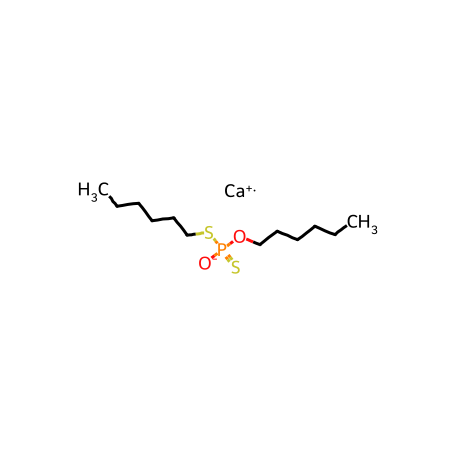 CCCCCCOP([O-])(=S)SCCCCCC.[Ca+]